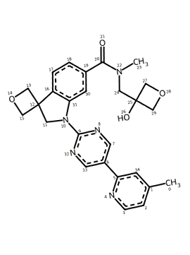 Cc1ccnc(-c2cnc(N3CC4(COC4)c4ccc(C(=O)N(C)CC5(O)COC5)cc43)nc2)c1